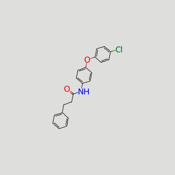 O=C(CCc1ccccc1)Nc1ccc(Oc2ccc(Cl)cc2)cc1